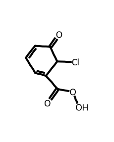 O=C(OO)C1=CC=CC(=O)C1Cl